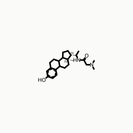 CC(NC(=O)CN(C)C)[C@H]1CCC2C3CCc4cc(O)ccc4C3CC[C@@]21C